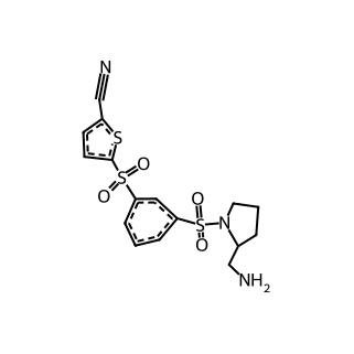 N#Cc1ccc(S(=O)(=O)c2cccc(S(=O)(=O)N3CCCC3CN)c2)s1